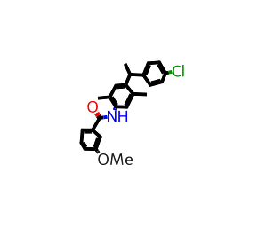 COc1cccc(C(=O)Nc2cc(C)c(C(C)c3ccc(Cl)cc3)cc2C)c1